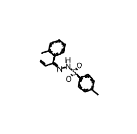 C=CC(=NNS(=O)(=O)c1ccc(C)cc1)c1ccccc1C